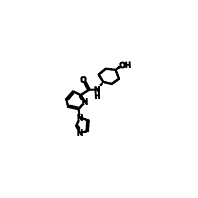 O=C(N[C@H]1CC[C@H](O)CC1)c1cccc(-n2ccnc2)n1